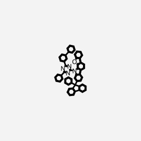 c1ccc(-c2cccc(-c3nc(-c4ccccc4)nc(-n4c5cc(C6(c7ccccc7)c7ccccc7-c7ccccc76)ccc5c5ccc6c7ccccc7oc6c54)n3)c2)cc1